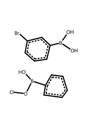 OB(O)c1cccc(Br)c1.OB(OCl)c1ccccc1